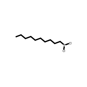 CCCCCCCCCCP(Cl)Cl